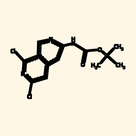 CC(C)(C)OC(=O)Nc1cc2cc(Cl)nc(Cl)c2cn1